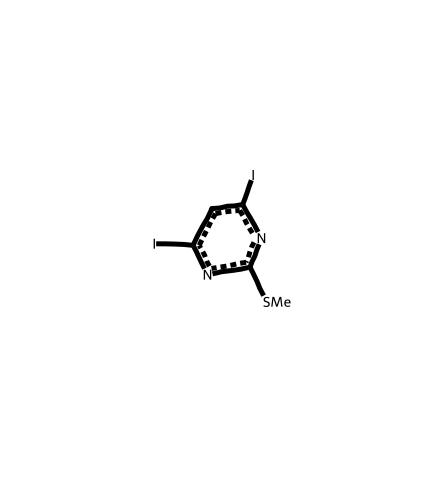 CSc1nc(I)cc(I)n1